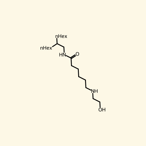 CCCCCCC(CCCCCC)CNC(=O)CCCCCNCCO